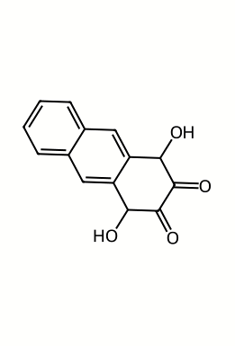 O=C1C(=O)C(O)c2cc3ccccc3cc2C1O